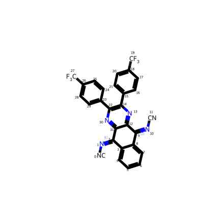 [C-]#[N+]/N=C1\c2ccccc2/C(=N/C#N)c2nc(-c3ccc(C(F)(F)F)cc3)c(-c3ccc(C(F)(F)F)cc3)nc21